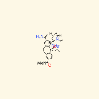 C=C(N)c1ccc2c(c1)CCc1cc(C(=O)NC)ccc1C2(C[C@H](C)NCC(=C)N1C(C#N)C[C@@H]2C[C@@H]21)C(N)=O